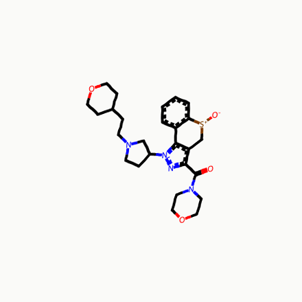 O=C(c1nn(C2CCN(CCC3CCOCC3)C2)c2c1C[S+]([O-])c1ccccc1-2)N1CCOCC1